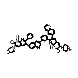 CN1CCN(c2cc3cc(-c4ccc5ncccc5c4)c(-c4cccc(-c5cnc6ccc(-c7cc8cc(N9CCOCC9)c(=O)[nH]c8nc7-c7ccccc7)cc6c5)c4)nc3[nH]c2=O)CC1